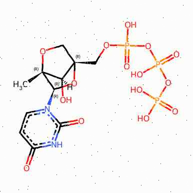 C[C@]12OC[C@](COP(=O)(O)OP(=O)(O)OP(=O)(O)O)(O[C@H]1n1ccc(=O)[nH]c1=O)[C@H]2O